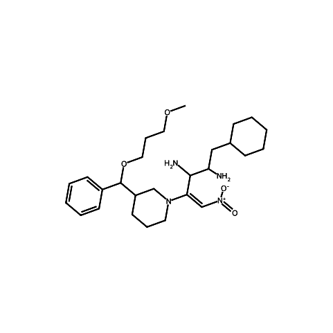 COCCCOC(c1ccccc1)C1CCCN(/C(=C/[N+](=O)[O-])C(N)C(N)CC2CCCCC2)C1